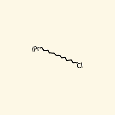 CC(C)CCCCCCCCCCCCCCl